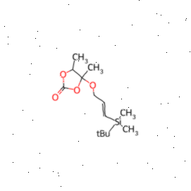 CC1OC(=O)OC1(C)OCC=C[Si](C)(C)C(C)(C)C